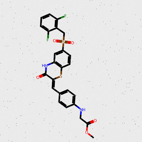 COC(=O)CNc1ccc(/C=C2\Sc3ccc(S(=O)(=O)Cc4c(F)cccc4F)cc3NC2=O)cc1